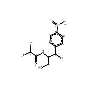 O=C(NC(CO)C(O)c1ccc([N+](=O)[O-])cc1)C(F)F